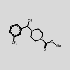 CC(C)(C)OC(=O)N1CCN(C(C#N)c2cccc(C(F)(F)F)c2)CC1